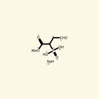 COC(=O)C(CC=O)P(=O)(O)O.[NaH]